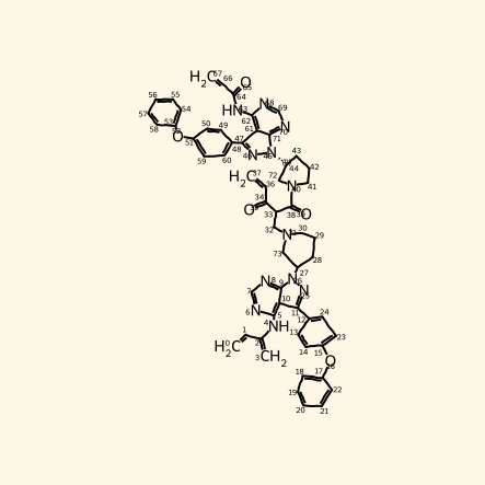 C=CC(=C)Nc1ncnc2c1c(-c1ccc(Oc3ccccc3)cc1)nn2C1CCCN(CC(C(=O)C=C)C(=O)N2CCC[C@@H](n3nc(-c4ccc(Oc5ccccc5)cc4)c4c(NC(=O)C=C)ncnc43)C2)C1